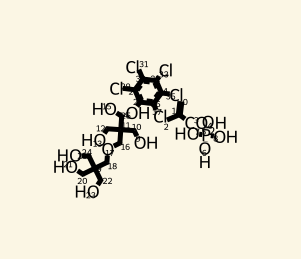 C=C(C)C(=O)O.O=P(O)(O)O.OCC(CO)(CO)COCC(CO)(CO)CO.Oc1c(Cl)c(Cl)c(Cl)c(Cl)c1Cl